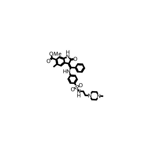 COC(=O)c1cc2c(cc1C)C(=C(Nc1ccc(S(=O)(=O)NCCN3CCN(C)CC3)cc1)c1ccccc1)C(=O)N2